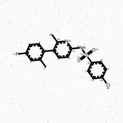 Cc1cc(F)ccc1-c1ccc(NS(=O)(=O)c2ccc(Cl)cc2)nc1C